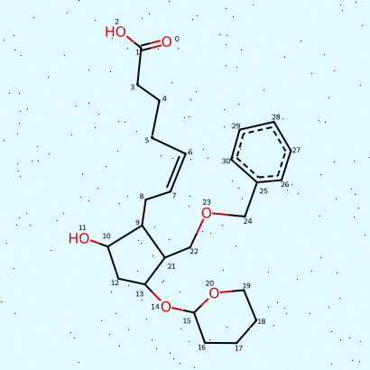 O=C(O)CCC/C=C\CC1C(O)CC(OC2CCCCO2)C1COCc1ccccc1